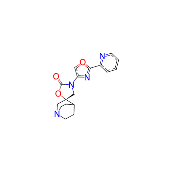 O=C1O[C@]2(CN3CCC2CC3)CN1c1coc(-c2ccccn2)n1